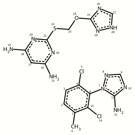 Cc1ccc(Cl)c(-n2ncnc2N)c1Cl.Nc1cc(N)nc(SCOc2nc[nH]n2)n1